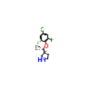 CC[C@H](Oc1c(F)cc(Cl)cc1F)[C@H]1CCNC1